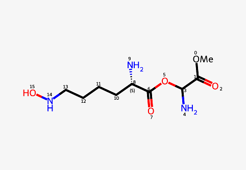 COC(=O)C(N)OC(=O)[C@@H](N)CCCCNO